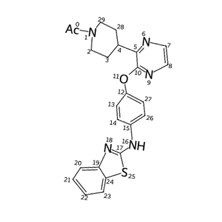 CC(=O)N1CCC(c2nccnc2Oc2ccc(Nc3nc4ccccc4s3)cc2)CC1